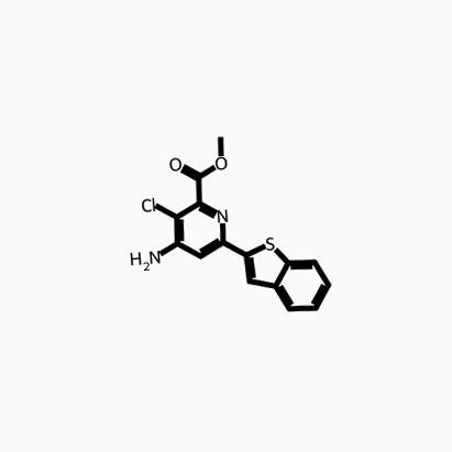 COC(=O)c1nc(-c2cc3ccccc3s2)cc(N)c1Cl